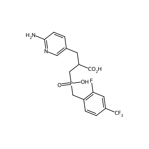 Nc1ccc(CC(CP(=O)(O)Cc2ccc(C(F)(F)F)cc2F)C(=O)O)cn1